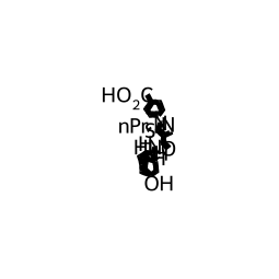 CCCSc1c(C(=O)N[C@H]2[C@@H]3CC4C[C@H]2C[C@@](O)(C4)C3)cnn1-c1ccc(C(=O)O)cc1